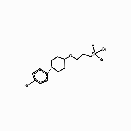 Brc1ccc([C@H]2CC[C@H](OCCC[Si](Br)(Br)Br)CC2)cc1